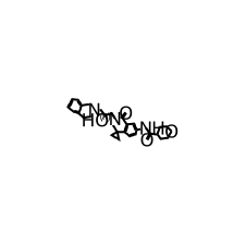 O=C(Nc1ccc2c(c1)C(=O)N(C[C@H](O)CN1CCc3ccccc3C1)CC21CC1)C1CCOCC1